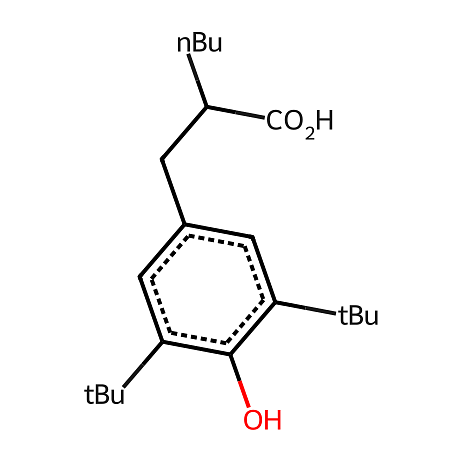 [CH2]CCCC(Cc1cc(C(C)(C)C)c(O)c(C(C)(C)C)c1)C(=O)O